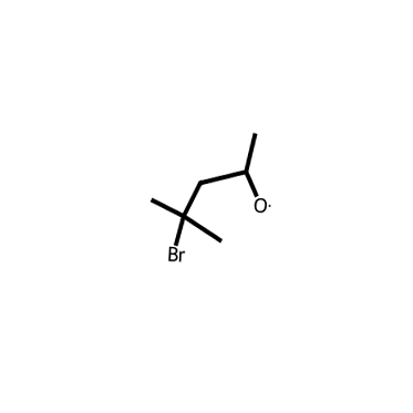 CC([O])CC(C)(C)Br